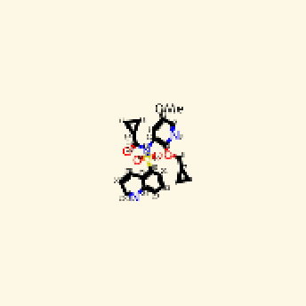 COc1cnc(OCC2CC2)c(N(C(=O)C2CC2)S(=O)(=O)c2cccc3ncccc23)c1